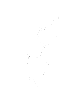 Oc1ccc(C2CCC(F)(F)CC2)cc1